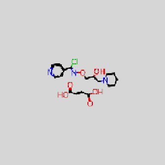 O=C(O)C=CC(=O)O.OC(CON=C(Cl)c1ccncc1)CN1CCCCC1